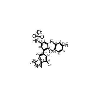 CCS(=O)(=O)Nc1ccc(Oc2ccc(F)cc2F)c(-c2cc(C)c3nnc(C)n3c2)c1